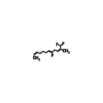 C/C=C\CCC/C=C(\F)C/C=C(/C)C(F)F